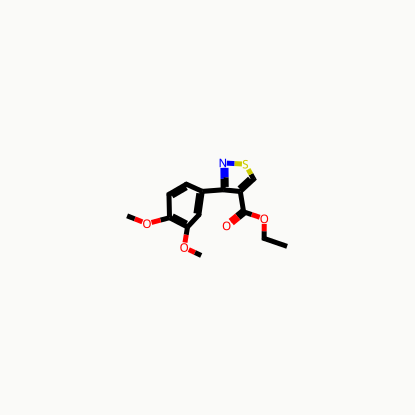 CCOC(=O)c1csnc1-c1ccc(OC)c(OC)c1